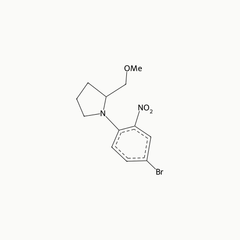 COCC1CCCN1c1ccc(Br)cc1[N+](=O)[O-]